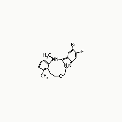 C[C@H]1Nc2nc(nc3cc(F)c(Br)cc23)CCCCc2c1cccc2C(F)(F)F